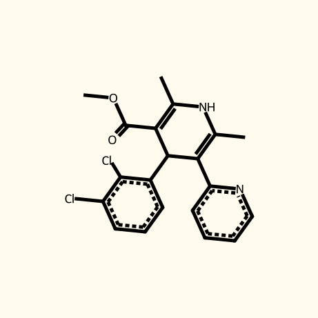 COC(=O)C1=C(C)NC(C)=C(c2ccccn2)C1c1cccc(Cl)c1Cl